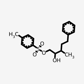 Cc1ccc(S(=O)(=O)OCC(O)C(C)CCc2ccccc2)cc1